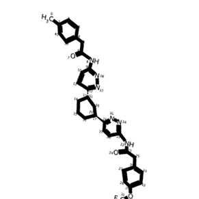 Cc1ccc(CC(=O)Nc2ccc([C@H]3CCC[C@H](c4ccc(NC(=O)Cc5ccc(OC(F)(F)F)cc5)nn4)C3)nn2)cc1